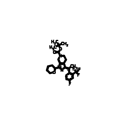 CN(c1ccc(F)cc1C(F)(F)F)C1N=[N+](C2CCCCO2)C2=C1CCN(C(=O)OC(C)(C)C)C2